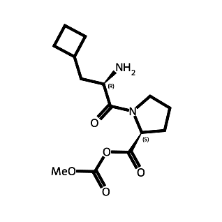 COC(=O)OC(=O)[C@@H]1CCCN1C(=O)[C@H](N)CC1CCC1